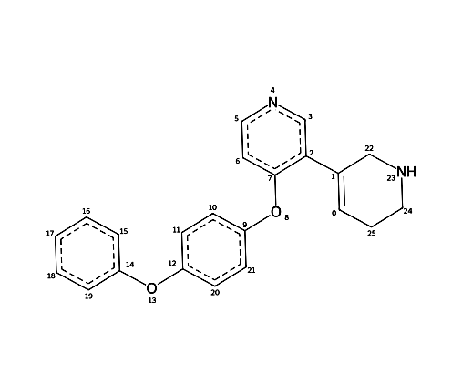 C1=C(c2cnccc2Oc2ccc(Oc3ccccc3)cc2)CNCC1